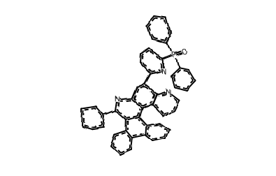 O=P(c1ccccc1)(c1ccccc1)c1cccc(-c2cc3nc(-c4ccccc4)c4c5ccccc5c5ccccc5c4c3c3cccnc23)n1